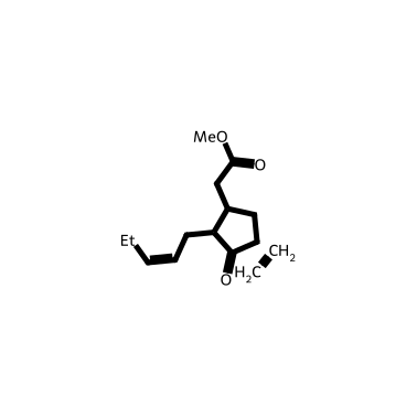 C=C.CC/C=C\CC1C(=O)CCC1CC(=O)OC